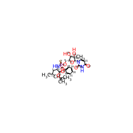 CC(C)CC(NP(=S)(OC[C@H]1O[C@@H](n2ccc(=O)[nH]c2=O)[C@](C)(O)[C@@H]1O)Oc1ccccc1)C(=O)OC(C)C